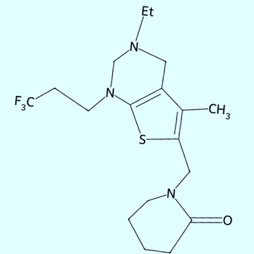 CCN1Cc2c(sc(CN3CCCCC3=O)c2C)N(CCC(F)(F)F)C1